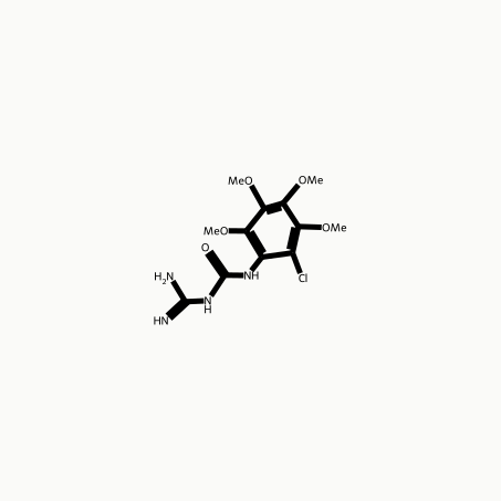 COc1c(Cl)c(NC(=O)NC(=N)N)c(OC)c(OC)c1OC